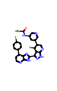 CCCCC(=O)Nc1cncc(-c2cnc3[nH]nc(-c4nc5c(-c6ccc(F)cc6)ccnc5[nH]4)c3c2F)c1